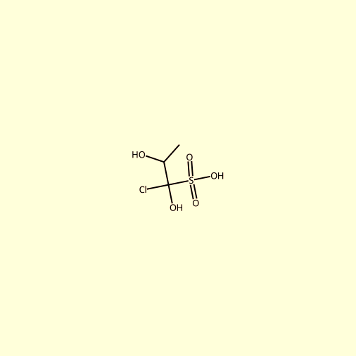 CC(O)C(O)(Cl)S(=O)(=O)O